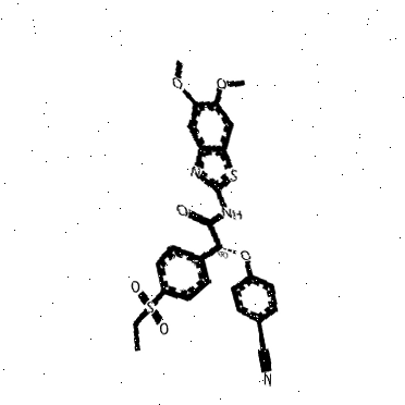 CCS(=O)(=O)c1ccc([C@@H](Oc2ccc(C#N)cc2)C(=O)Nc2nc3cc(OC)c(OC)cc3s2)cc1